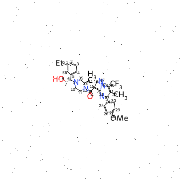 CCc1cccc([C@@H](CO)N2CCN(C(=O)c3cnn4c(C(F)(F)F)c(C)c(-c5ccc(OC)cc5)nc34)[C@H](C)C2)c1